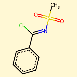 CS(=O)(=O)N=C(Cl)c1ccccc1